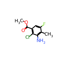 COC(=O)c1cc(F)c(C)c(N)c1Cl